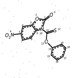 O=c1oc2cc([N+](=O)[O-])ccc2n1C(=S)Oc1ccccc1